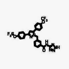 O=C(Nc1nn[nH]n1)c1cccc(Cn2nc(-c3ccc(OC(F)(F)F)cc3)cc2-c2ccc(OC(F)(F)F)cc2)c1